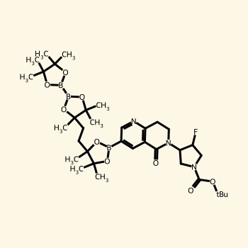 CC(C)(C)OC(=O)N1CC(F)C(N2CCc3ncc(B4OC(C)(C)C(C)(CCC5(C)OB(B6OC(C)(C)C(C)(C)O6)OC5(C)C)O4)cc3C2=O)C1